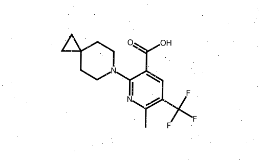 Cc1nc(N2CCC3(CC2)CC3)c(C(=O)O)cc1C(F)(F)F